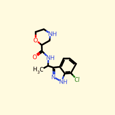 CC(NC(=O)C1CNCCO1)c1n[nH]c2c(Cl)cccc12